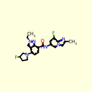 CCn1cc2c(N3CCC(F)C3)ccc(C(=O)Nc3cc(F)c4nc(C)cn4c3)c2n1